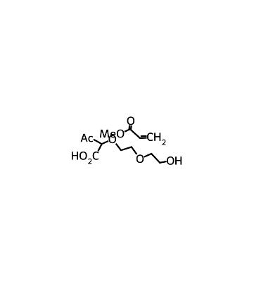 C=CC(=O)OC.CC(=O)C(OCCOCCO)C(=O)O